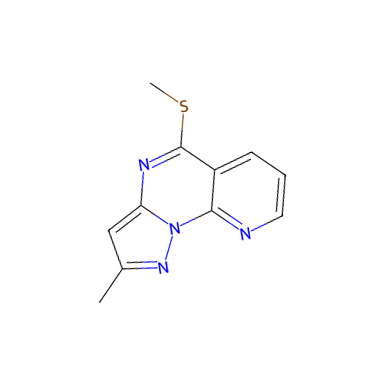 CSc1nc2cc(C)nn2c2ncccc12